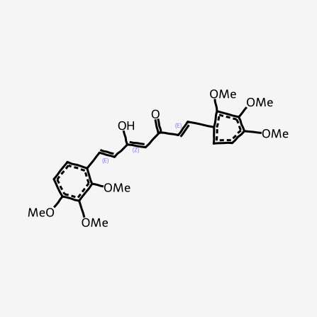 COc1ccc(/C=C/C(=O)/C=C(O)/C=C/c2ccc(OC)c(OC)c2OC)c(OC)c1OC